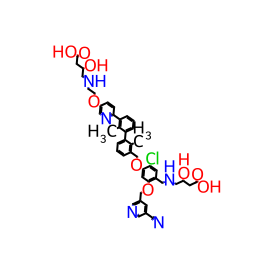 Cc1c(COc2cc(OCc3cncc(C#N)c3)c(CNCC(O)CC(=O)O)cc2Cl)cccc1-c1cccc(-c2ccc(OCCNCC(O)CC(=O)O)cn2)c1C